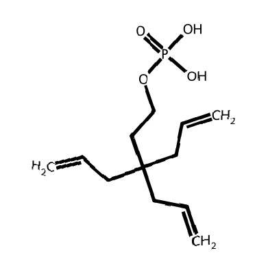 C=CCC(CC=C)(CC=C)CCOP(=O)(O)O